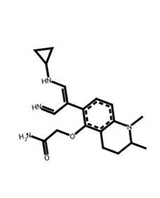 CC1CCc2c(ccc(/C(C=N)=C/NC3CC3)c2OCC(N)=O)N1C